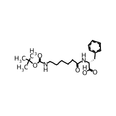 CC(C)(C)OC(=O)NCCCCCC(=O)N[C@H](Cc1ccccc1)C(=O)O